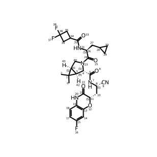 CC1(C)[C@@H]2[C@@H](C(=O)N[C@H](C#N)C[C@@H]3Oc4cc(F)ccc4NC3=O)N(C(=O)[C@H](CC3CC3)NC(=O)C3CC(F)(F)C3)C[C@@H]21